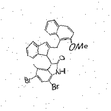 COc1ccc2ccccc2c1CC1=Cc2ccccc2C1C1C(=O)Nc2c(Br)cc(Br)c(C)c21